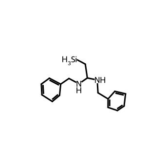 [SiH3]CC(NCc1ccccc1)NCc1ccccc1